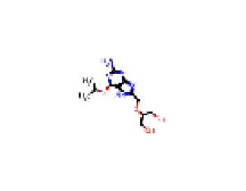 CC(C)Oc1nc(N)nc2nc(COC(CO)CO)[nH]c12